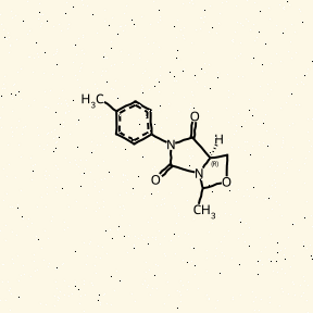 Cc1ccc(N2C(=O)[C@H]3COC(C)N3C2=O)cc1